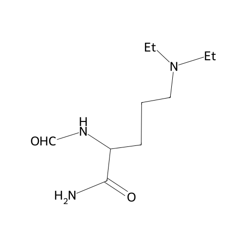 CCN(CC)CCCC(NC=O)C(N)=O